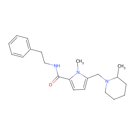 CC1CCCCN1Cc1ccc(C(=O)NCCc2ccccc2)n1C